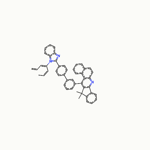 C=C/C=C(\C=C/C)n1c(-c2ccc(-c3cccc(-c4c5c(nc6ccc7ccccc7c46)-c4ccccc4C5(C)C)c3)cc2)nc2ccccc21